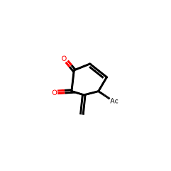 C=C1C(=O)C(=O)C=CC1C(C)=O